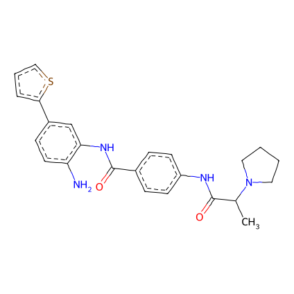 CC(C(=O)Nc1ccc(C(=O)Nc2cc(-c3cccs3)ccc2N)cc1)N1CCCC1